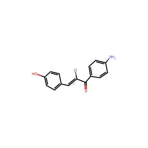 Nc1ccc(C(=O)/C(Cl)=C/c2ccc(O)cc2)cc1